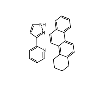 c1ccc(-c2cc[nH]n2)nc1.c1ccc2c(c1)ccc1c3c(ccc12)CCCC3